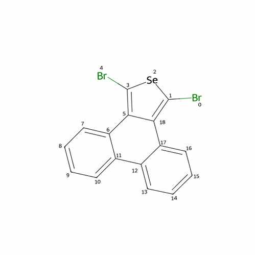 Brc1[se]c(Br)c2c3ccccc3c3ccccc3c12